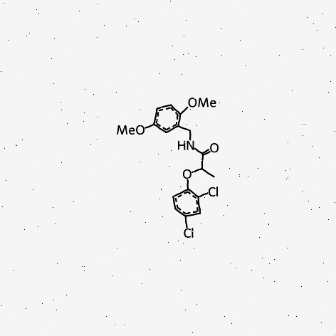 COc1ccc(OC)c(CNC(=O)C(C)Oc2ccc(Cl)cc2Cl)c1